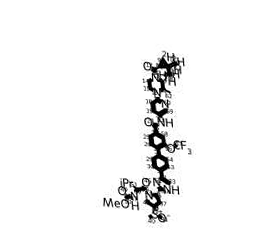 [2H]C([2H])([2H])C1(C([2H])([2H])[2H])C[C@@H]1C(=O)N1CCN(c2ccc(NC(=O)c3ccc(-c4ccc(-c5c[nH]c([C@@H]6C[C@H]([S+](C)[O-])CN6C(=O)[C@@H](NC(=O)OC)C(C)C)n5)cc4)c(OC(F)(F)F)c3)cn2)[C@H](C)C1